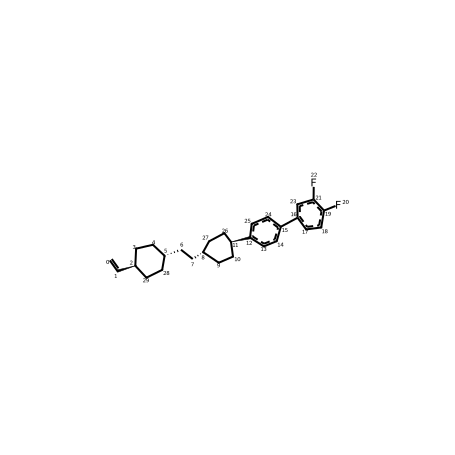 C=C[C@H]1CC[C@H](CC[C@H]2CC[C@H](c3ccc(-c4ccc(F)c(F)c4)cc3)CC2)CC1